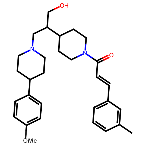 COc1ccc(C2CCN(CC(CO)C3CCN(C(=O)C=Cc4cccc(C)c4)CC3)CC2)cc1